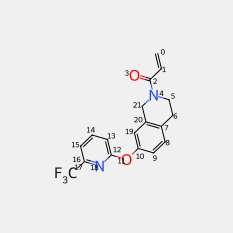 C=CC(=O)N1CCc2ccc(Oc3cccc(C(F)(F)F)n3)cc2C1